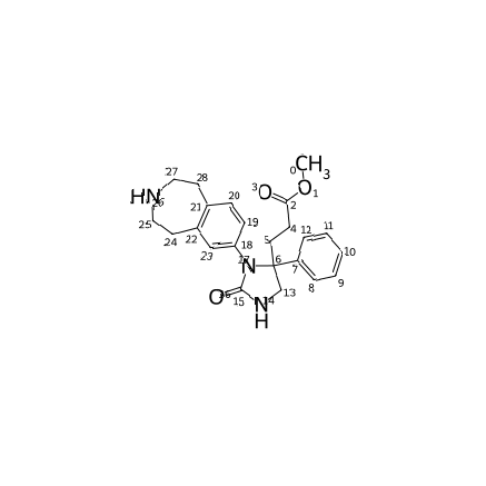 COC(=O)CCC1(c2ccccc2)CNC(=O)N1c1ccc2c(c1)CCNCC2